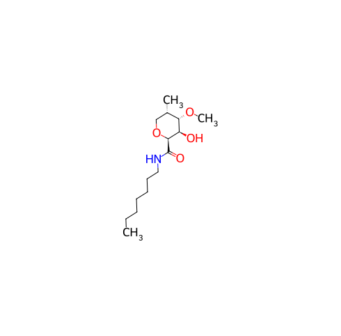 CCCCCCCNC(=O)[C@H]1OC[C@H](C)[C@H](OC)[C@H]1O